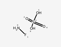 NF.O=S(=O)(O)O